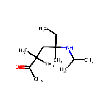 CCC(C)(CC(C)(C)C(C)=O)NC(C)C